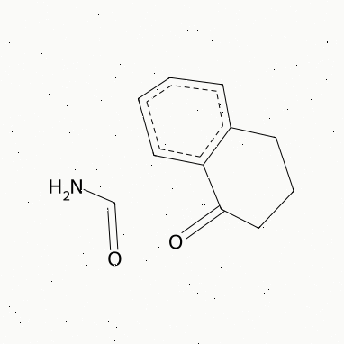 NC=O.O=C1CCCc2ccccc21